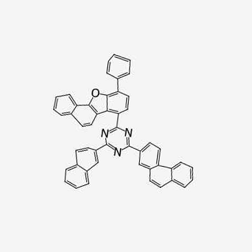 c1ccc(-c2ccc(-c3nc(-c4ccc5ccccc5c4)nc(-c4ccc5c(ccc6ccccc65)c4)n3)c3c2oc2c4ccccc4ccc23)cc1